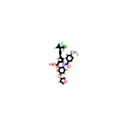 CC1CCC(C(=O)N(c2cc(C#CC3(C(F)(F)F)CC3)sc2C(=O)O)C2CCC(OC3CCOC3)CC2)CC1